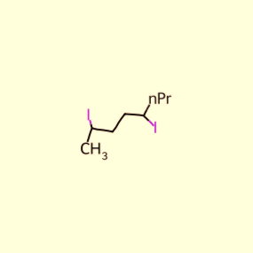 [CH2]CCC(I)CCC(C)I